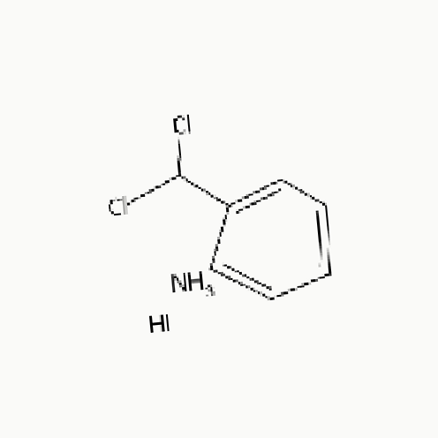 ClC(Cl)c1ccccc1.I.N